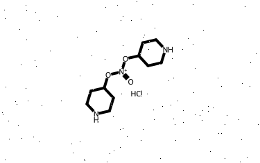 Cl.O=[N+](OC1CCNCC1)OC1CCNCC1